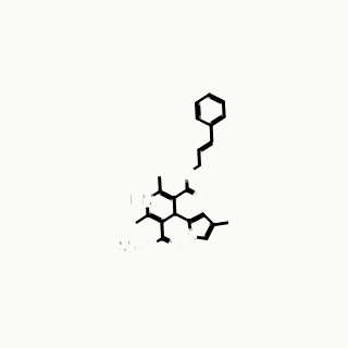 COC(=O)C1=C(C)NC(C)=C(C(=O)OCC=Cc2ccccc2)C1c1cc(C)cs1